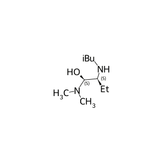 CCC(C)N[C@@H](CC)[C@H](O)N(C)C